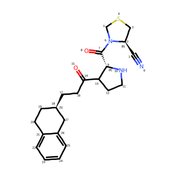 N#C[C@@H]1CSCN1C(=O)[C@@H]1NCCC1C(=O)CC[C@@H]1CCc2ccccc2C1